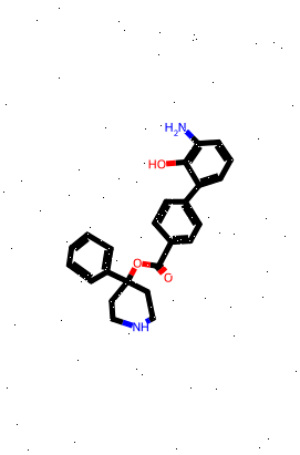 Nc1cccc(-c2ccc(C(=O)OC3(c4ccccc4)CCNCC3)cc2)c1O